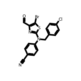 N#Cc1ccc(N(Cc2ccc(Cl)cc2)c2nc(C=O)c(Br)s2)cc1